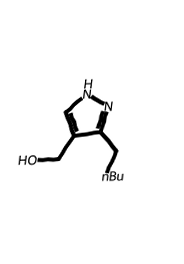 CCCCCc1n[nH]cc1CO